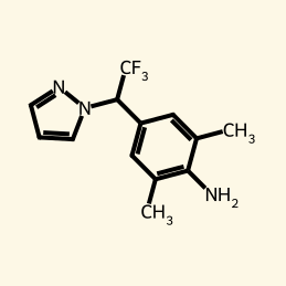 Cc1cc(C(n2cccn2)C(F)(F)F)cc(C)c1N